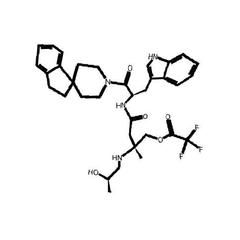 C[C@@H](O)CN[C@@](C)(COC(=O)C(F)(F)F)CC(=O)N[C@H](Cc1c[nH]c2ccccc12)C(=O)N1CCC2(CCc3ccccc32)CC1